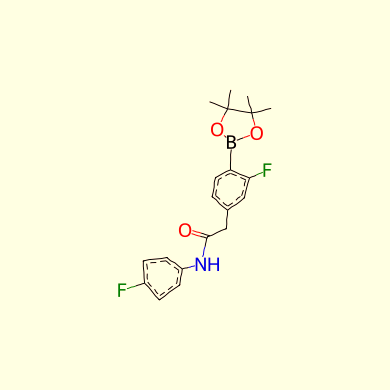 CC1(C)OB(c2ccc(CC(=O)Nc3ccc(F)cc3)cc2F)OC1(C)C